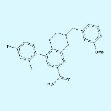 COc1cc(CN2CCc3c(-c4ccc(F)cc4C)cc(C(N)=O)nc3C2)ccn1